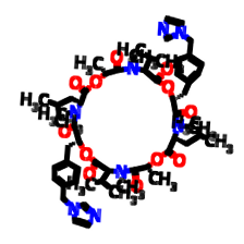 CC(C)C[C@H]1C(=O)O[C@H](C)C(=O)N(C)C(C(C)C)C(=O)O[C@H](Cc2ccc(Cn3ccnc3)cc2)C(=O)N(C)[C@@H](CC(C)C)C(=O)O[C@H](C)C(=O)N(C)C(C(C)C)C(=O)O[C@H](Cc2ccc(Cn3ccnc3)cc2)C(=O)N1C